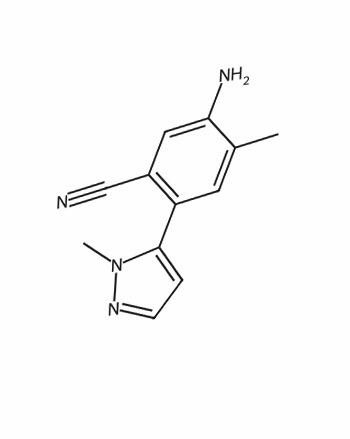 Cc1cc(-c2ccnn2C)c(C#N)cc1N